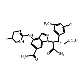 NC(=O)c1cc(NC2=NCC(F)CN2)c2cnn(C(C(N)=O)[C@@H](CC(=O)O)c3cc(Cl)cc(C(F)(F)F)c3)c2c1